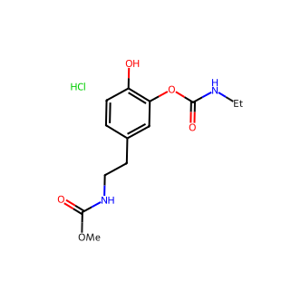 CCNC(=O)Oc1cc(CCNC(=O)OC)ccc1O.Cl